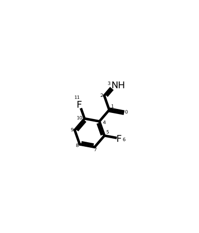 C=C(C=N)c1c(F)cccc1F